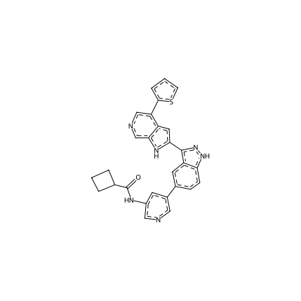 O=C(Nc1cncc(-c2ccc3[nH]nc(-c4cc5c(-c6cccs6)cncc5[nH]4)c3c2)c1)C1CCC1